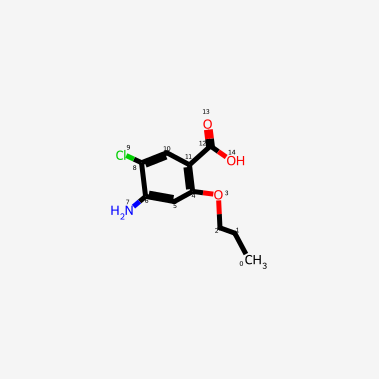 CCCOc1cc(N)c(Cl)cc1C(=O)O